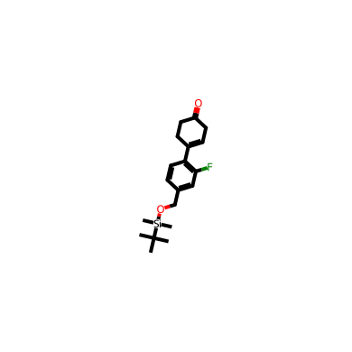 CC(C)(C)[Si](C)(C)OCc1ccc(C2=CCC(=O)CC2)c(F)c1